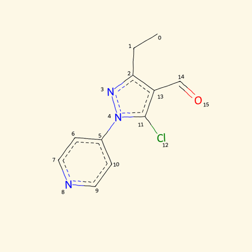 CCc1nn(-c2ccncc2)c(Cl)c1C=O